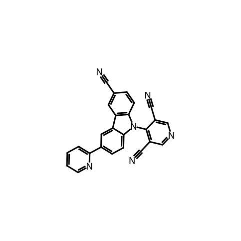 N#Cc1ccc2c(c1)c1cc(-c3ccccn3)ccc1n2-c1c(C#N)cncc1C#N